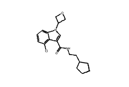 O=C(NCCC1CCCC1)c1cn(C2COC2)c2cccc(Cl)c12